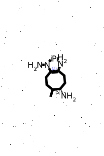 CC1CC/C(N(N)C(C)C)=C(/N)CC[C@@H]1N